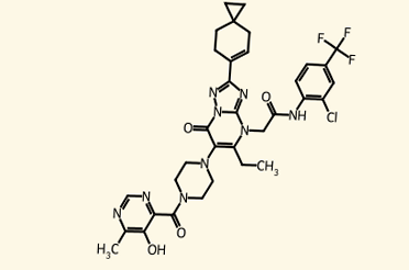 CCc1c(N2CCN(C(=O)c3ncnc(C)c3O)CC2)c(=O)n2nc(C3=CCC4(CC3)CC4)nc2n1CC(=O)Nc1ccc(C(F)(F)F)cc1Cl